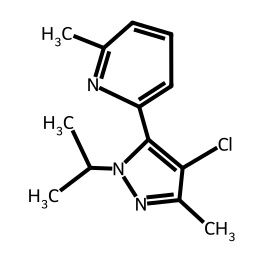 Cc1cccc(-c2c(Cl)c(C)nn2C(C)C)n1